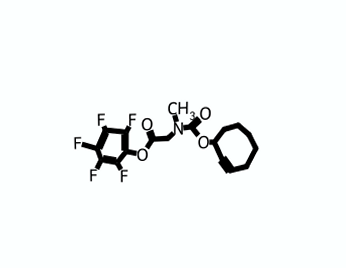 CN(CC(=O)Oc1c(F)c(F)c(F)c(F)c1F)C(=O)OC1C#CCCCCC1